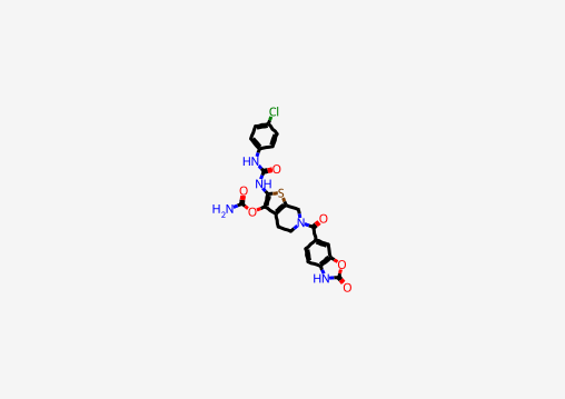 NC(=O)Oc1c(NC(=O)Nc2ccc(Cl)cc2)sc2c1CCN(C(=O)c1ccc3[nH]c(=O)oc3c1)C2